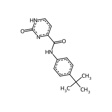 CC(C)(C)c1ccc(NC(=O)c2cc[nH]c(=O)n2)cc1